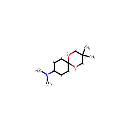 CN(C)C1CCC2(CC1)OCC(C)(C)CO2